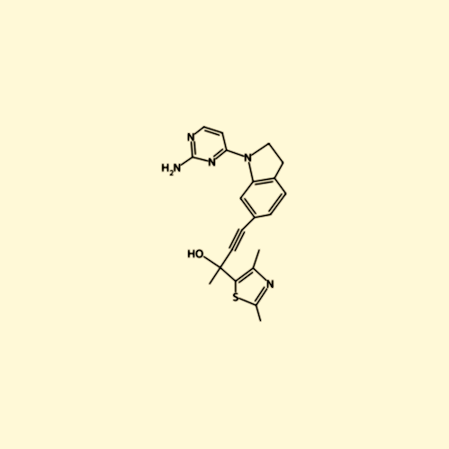 Cc1nc(C)c(C(C)(O)C#Cc2ccc3c(c2)N(c2ccnc(N)n2)CC3)s1